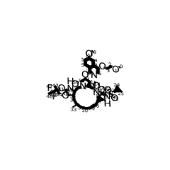 COCCOc1cnc(O[C@@H]2C[C@H]3C(=O)N[C@]4(C(=O)NS(=O)(=O)C5CC5)CC4/C=C\CC[C@@H](C)C[C@@H](C)[C@H](NC(=O)OC(C)(C)C(C)(F)F)C(=O)N3C2)c2ccc(OC)cc12